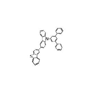 c1ccc(-c2cc(-c3ccccc3)cc(-n3c4ccccc4c4cc(-c5ccc6sc7ccccc7c6c5)ccc43)c2)cc1